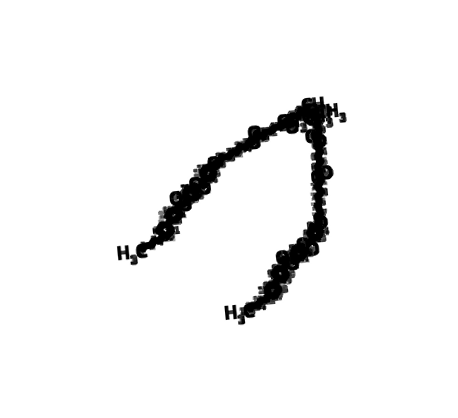 CCCCCC1CCC(C2CCC(C(=O)Oc3ccc(OC(=O)c4ccc(OCCCCCCCCOC(=O)CCCCCOC(=O)CCC[Si](C)(C)O[Si](C)(C)CCCC(=O)OCCCCCC(=O)OCCCCCCCCOc5ccc(C(=O)Oc6ccc(OC(=O)C7CCC(C8CCC(CCCCC)CC8)CC7)cc6)cc5)cc4)cc3)CC2)CC1